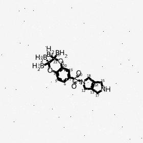 BC1(B)Oc2ccc(S(=O)(=O)N3CC4=C(CNC4)C3)cc2OC1(B)B